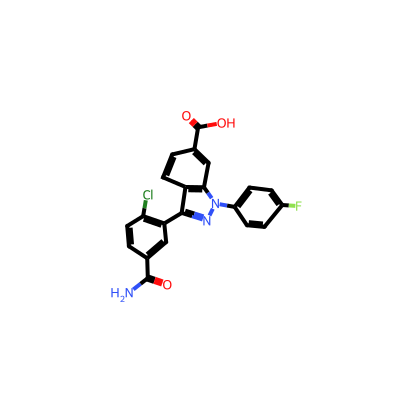 NC(=O)c1ccc(Cl)c(-c2nn(-c3ccc(F)cc3)c3cc(C(=O)O)ccc23)c1